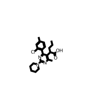 CCCC(C(=O)O)c1c(C)nc(N2CCCCC2)nc1-c1ccc(C)cc1Cl